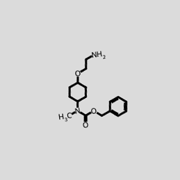 CN(C(=O)OCc1ccccc1)C1CCC(OCCN)CC1